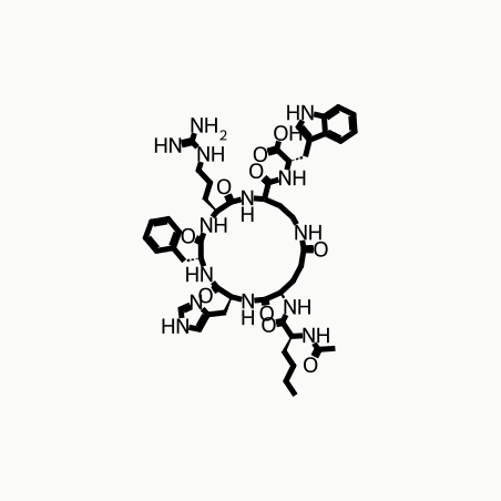 CCCC[C@H](NC(C)=O)C(=O)N[C@H]1CCC(=O)NCCC(C(=O)N[C@@H](Cc2c[nH]c3ccccc23)C(=O)O)NC(=O)[C@H](CCCNC(=N)N)NC(=O)[C@@H](Cc2ccccc2)NC(=O)[C@H](Cc2c[nH]cn2)NC1=O